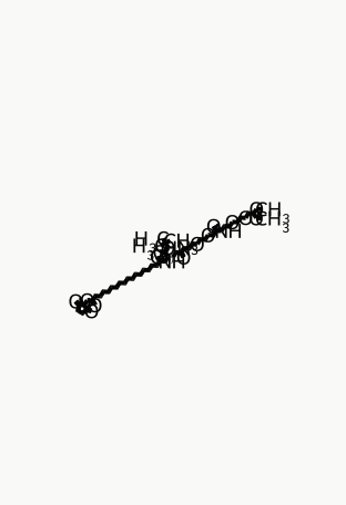 COC(COCCOCCNC(=O)COCCOCCNC(=O)CC[C@H](NC(=O)CCCCCCCCCCCCCCCCC(=O)ON1C(=O)CCC1=O)C(=O)OC(C)(C)C)OC